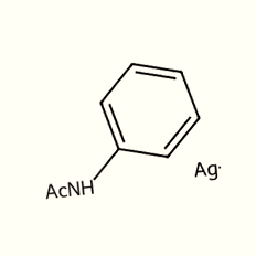 CC(=O)Nc1ccccc1.[Ag]